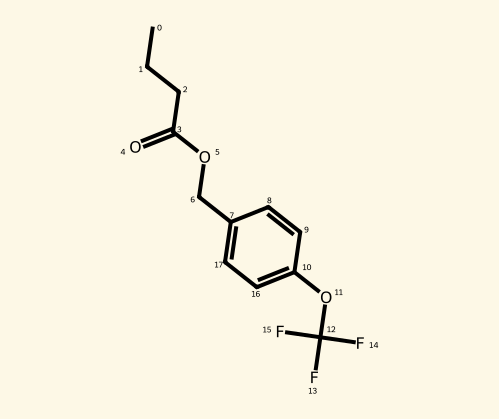 CCCC(=O)OCc1ccc(OC(F)(F)F)cc1